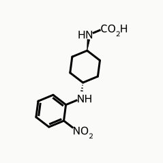 O=C(O)N[C@H]1CC[C@H](Nc2ccccc2[N+](=O)[O-])CC1